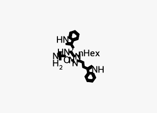 CCCCCCn1c(CCc2c[nH]c3ccccc23)nnc1[C@@H](Cc1c[nH]c2ccccc12)NC(=O)C(C)(C)N